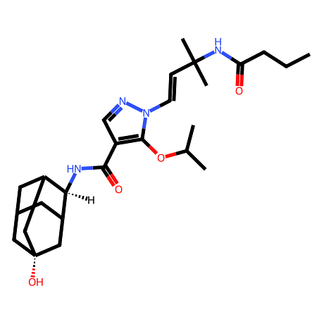 CCCC(=O)NC(C)(C)/C=C/n1ncc(C(=O)N[C@H]2C3CC4CC2C[C@](O)(C4)C3)c1OC(C)C